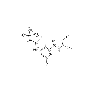 CC(CF)NC(=O)c1cc(Br)cc(NC(=O)OC(C)(C)C)n1